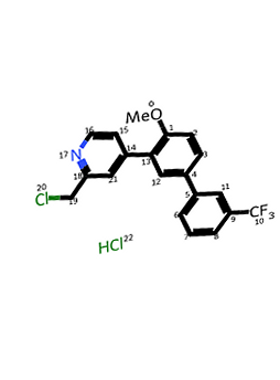 COc1ccc(-c2cccc(C(F)(F)F)c2)cc1-c1ccnc(CCl)c1.Cl